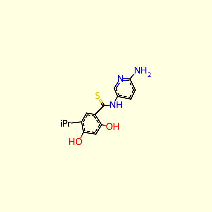 CC(C)c1cc(C(=S)Nc2ccc(N)nc2)c(O)cc1O